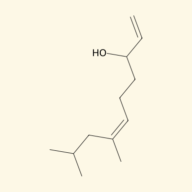 C=CC(O)CCC=C(C)CC(C)C